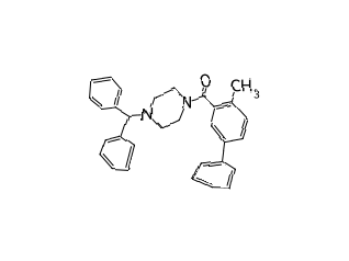 Cc1ccc(-c2ccccc2)cc1C(=O)N1CCN(C(c2ccccc2)c2ccccc2)CC1